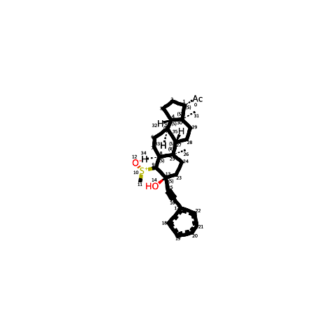 CC(=O)[C@H]1CC[C@H]2[C@@H]3CC[C@@H]4C([S+](C)[O-])[C@@](O)(C#Cc5ccccc5)CC[C@]4(C)[C@H]3CC[C@]12C